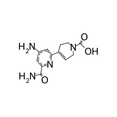 NC(=O)c1cc(N)cc(C2=CCN(C(=O)O)CC2)n1